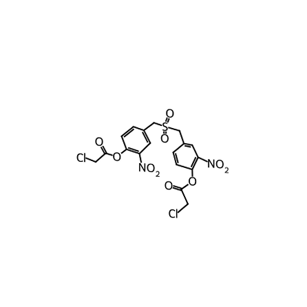 O=C(CCl)Oc1ccc(CS(=O)(=O)Cc2ccc(OC(=O)CCl)c([N+](=O)[O-])c2)cc1[N+](=O)[O-]